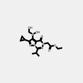 CCOC(=O)Cn1nc(C(C)C)n2nc(C3CC3)c(N(O)CO)c2c1=O